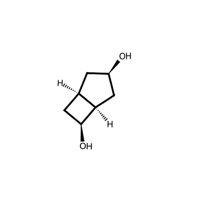 O[C@@H]1C[C@@H]2C[C@H](O)[C@@H]2C1